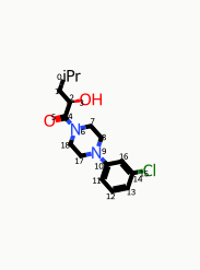 CC(C)C[C@@H](O)C(=O)N1CCN(c2cccc(Cl)c2)CC1